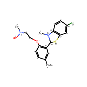 COc1ccc(OCCN(O)C(C)C)c(C2Sc3cc(Cl)ccc3N2C(C)=O)c1